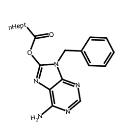 CCCCCCCC(=O)Oc1nc2c(N)ncnc2n1Cc1ccccc1